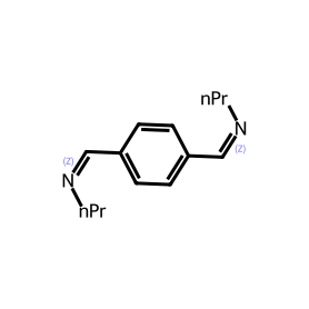 CCC/N=C\c1ccc(/C=N\CCC)cc1